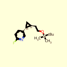 CC(C)(C)[Si](C)(C)OCC[C@@H]1C[C@H]1c1ccc(F)nc1